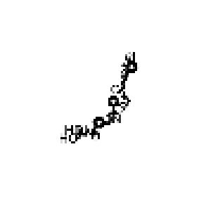 Cc1c(Cl)cccc1OCCCC(=O)N1CCCSc2c(-c3cnn(Cc4cccc(C(=O)NCC(O)CO)c4)c3)cccc21